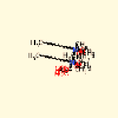 CCCCCCCCCCCCCCCCCC[N+](CCC)(CCC)CC(C)[Si](OC)(OC)OC.CCCCCCCCCCCCCCCCCC[N+](CCC)(CCC)CC(C)[Si](OC)(OC)OC.O=C([O-])C(O)C(O)C(=O)[O-]